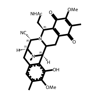 COC1=C(C)C(=O)C2=C(C1=O)[C@H](CNC(C)=O)N1C(C2)[C@H]2c3c(cc(C)c(OC)c3O)C[C@@H]([C@@H]1C#N)N2C